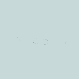 C=CC1CCC(c2ccc(-c3ccc(C4CCC(CCC)CO4)c(F)c3F)c(F)c2F)CC1